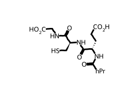 CCCC(=O)N[C@@H](CCC(=O)O)C(=O)N[C@@H](CS)C(=O)NCC(=O)O